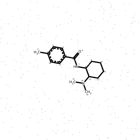 Cc1ccc(C(=O)NC2CCCCC2N(C)C)cc1